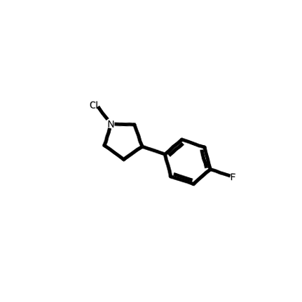 Fc1ccc(C2CCN(Cl)C2)cc1